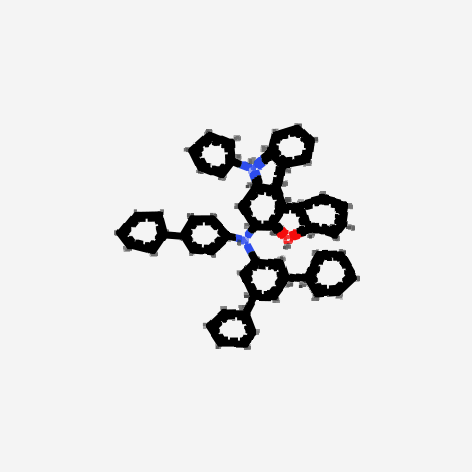 c1ccc(-c2ccc(N(c3cc(-c4ccccc4)cc(-c4ccccc4)c3)c3cc4c(c5ccccc5n4-c4ccccc4)c4c3oc3ccccc34)cc2)cc1